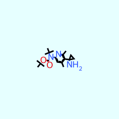 Cc1cc(N(C(=O)OC(C)(C)C)C(C)(C)C)nc(C)c1C1(N)CC1